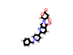 O=C1CC(=O)C(N2Cc3nc(C4CCN(Cc5ccccc5)CC4)ccc3C2=O)CO1